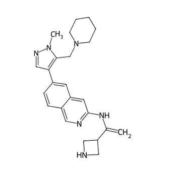 C=C(Nc1cc2cc(-c3cnn(C)c3CN3CCCCC3)ccc2cn1)C1CNC1